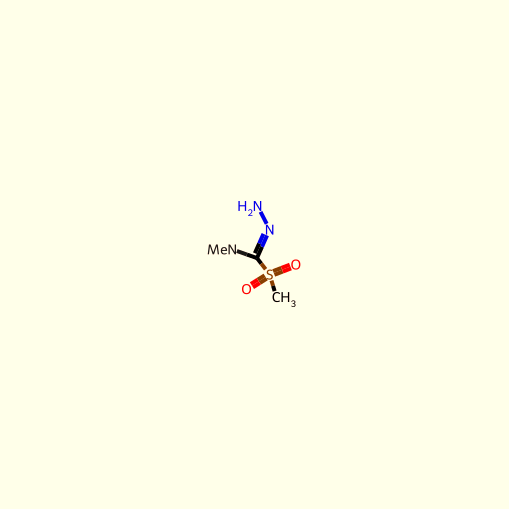 CN/C(=N\N)S(C)(=O)=O